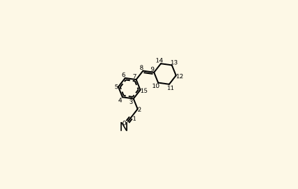 N#CCc1cccc(C=C2CCCCC2)c1